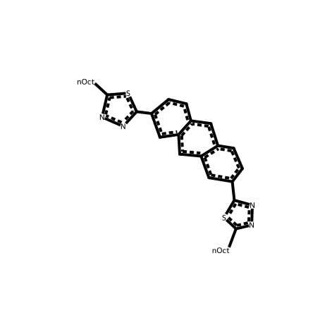 CCCCCCCCc1nnc(-c2ccc3cc4ccc(-c5nnc(CCCCCCCC)s5)cc4cc3c2)s1